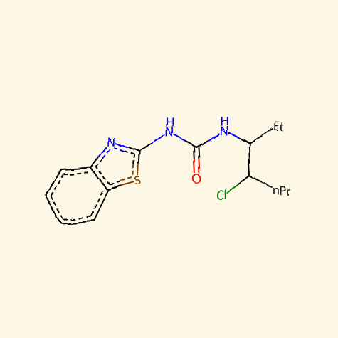 CCCC(Cl)C(CC)NC(=O)Nc1nc2ccccc2s1